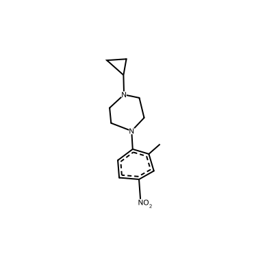 Cc1cc([N+](=O)[O-])ccc1N1CCN(C2CC2)CC1